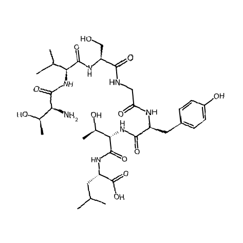 CC(C)C[C@H](NC(=O)[C@@H](NC(=O)[C@H](Cc1ccc(O)cc1)NC(=O)CNC(=O)[C@H](CO)NC(=O)[C@@H](NC(=O)[C@@H](N)[C@@H](C)O)C(C)C)[C@@H](C)O)C(=O)O